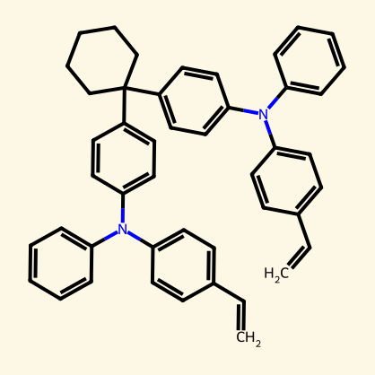 C=Cc1ccc(N(c2ccccc2)c2ccc(C3(c4ccc(N(c5ccccc5)c5ccc(C=C)cc5)cc4)CCCCC3)cc2)cc1